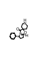 O=C1N2[C@@H](CC[C@H]2c2ccccc2)OC12CCNCC2